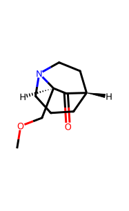 COC[C@@H]1C(=O)[C@H]2CCCN1CC2